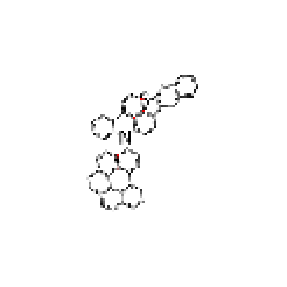 c1ccc(-c2ccccc2N(c2ccc(-c3cccc4ccc5ccc6ccccc6c5c34)cc2)c2ccc3c(c2)sc2cc4ccccc4cc23)cc1